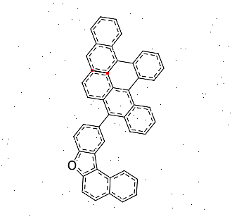 c1ccc(-c2c3ccccc3c(-c3ccc4oc5ccc6ccccc6c5c4c3)c3ccccc23)c(-c2cccc3ccccc23)c1